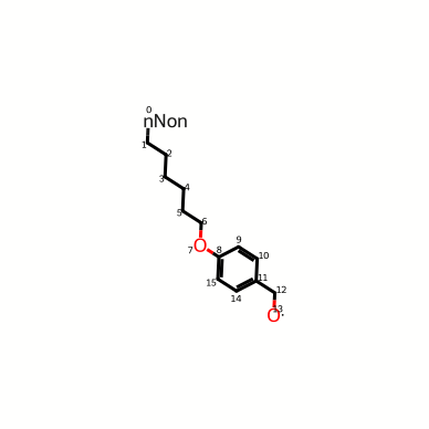 CCCCCCCCCCCCCCCOc1ccc(C[O])cc1